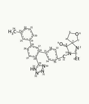 CCC1=NC2(CCOC2)C(=O)N1Cc1ccc(-c2cc(-c3cccc(C)c3)ccc2-c2nnn[nH]2)cc1